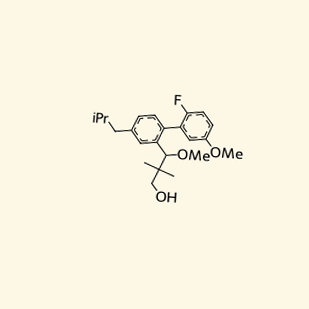 COc1ccc(F)c(-c2ccc(CC(C)C)cc2C(OC)C(C)(C)CO)c1